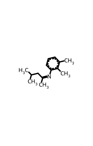 CC(CC(C)C)=Nc1cccc(C)c1C